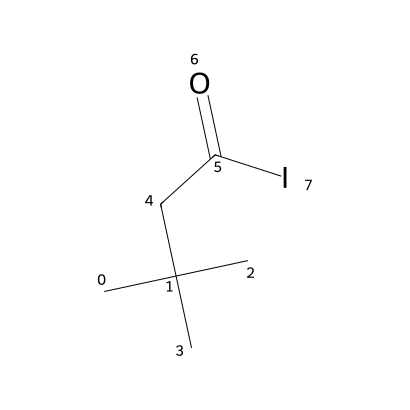 CC(C)(C)CC(=O)I